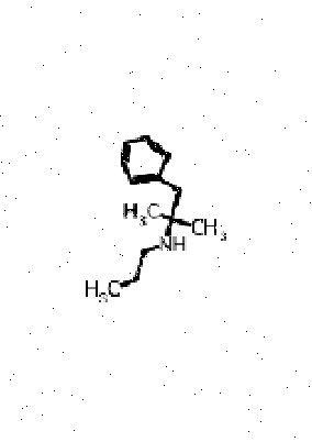 CCCNC(C)(C)Cc1ccccc1